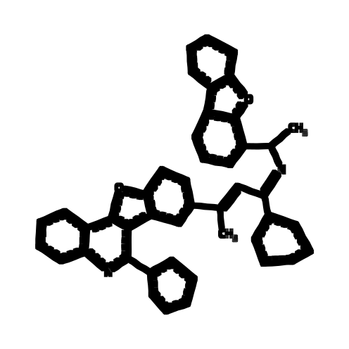 C/C(=C\C(=N/C(C)c1cccc2c1oc1ccccc12)c1ccccc1)c1ccc2oc3c4ccccc4nc(-c4ccccc4)c3c2c1